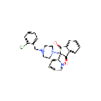 O=C1c2ccccc2C(=O)C1(c1ccccn1)N1CCN(Cc2ccccc2Cl)CC1